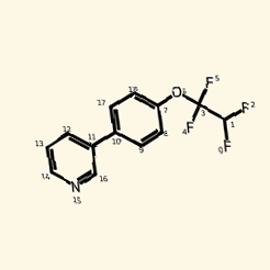 FC(F)C(F)(F)Oc1ccc(-c2cccnc2)cc1